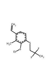 C=Cc1ccc(SCC(C)(F)F)c(SCC)c1C